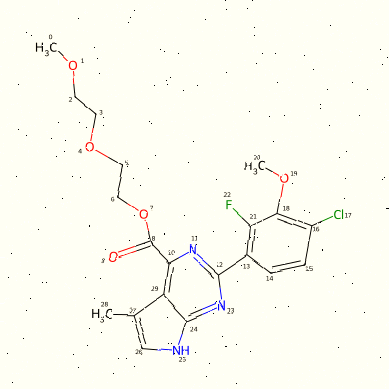 COCCOCCOC(=O)c1nc(-c2ccc(Cl)c(OC)c2F)nc2[nH]cc(C)c12